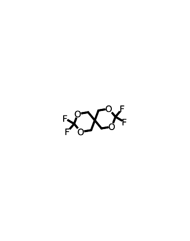 FC1(F)OCC2(CO1)COC(F)(F)OC2